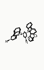 N#Cc1cc(-n2c3ccccc3c3cc(C#N)ccc32)cc(-n2c3ccccc3c3ccc4oc5cccnc5c4c32)c1